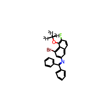 [2H]C([2H])([2H])Oc1c(F)ccc2cc(N=C(c3ccccc3)c3ccccc3)cc(Br)c12